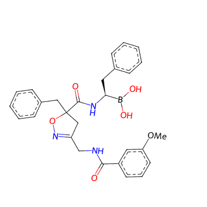 COc1cccc(C(=O)NCC2=NOC(Cc3ccccc3)(C(=O)N[C@@H](Cc3ccccc3)B(O)O)C2)c1